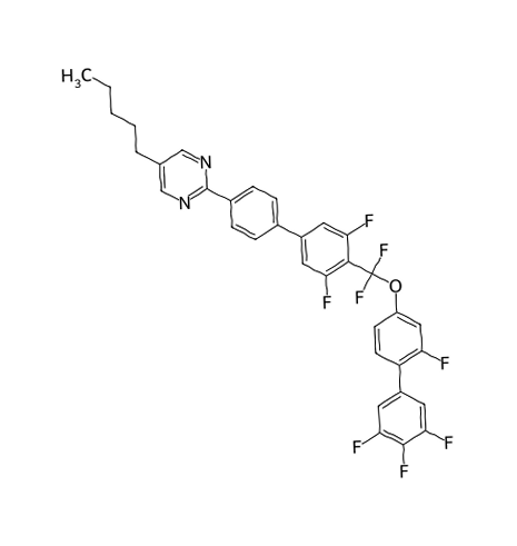 CCCCCc1cnc(-c2ccc(-c3cc(F)c(C(F)(F)Oc4ccc(-c5cc(F)c(F)c(F)c5)c(F)c4)c(F)c3)cc2)nc1